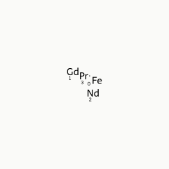 [Fe].[Gd].[Nd].[Pr]